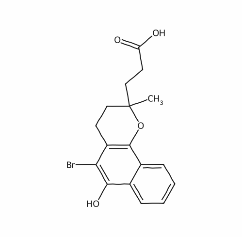 CC1(CCC(=O)O)CCc2c(Br)c(O)c3ccccc3c2O1